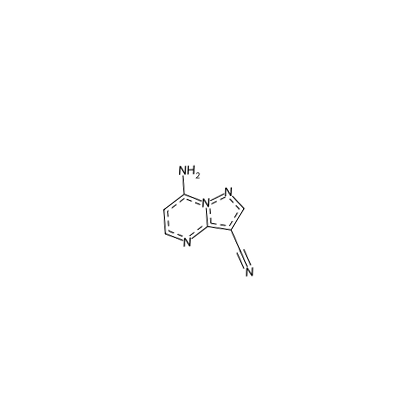 N#Cc1cnn2c(N)ccnc12